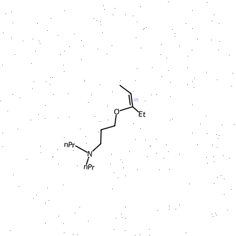 C/C=C(/CC)OCCCN(CCC)CCC